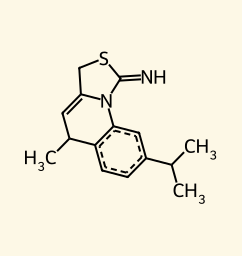 CC(C)c1ccc2c(c1)N1C(=N)SCC1=CC2C